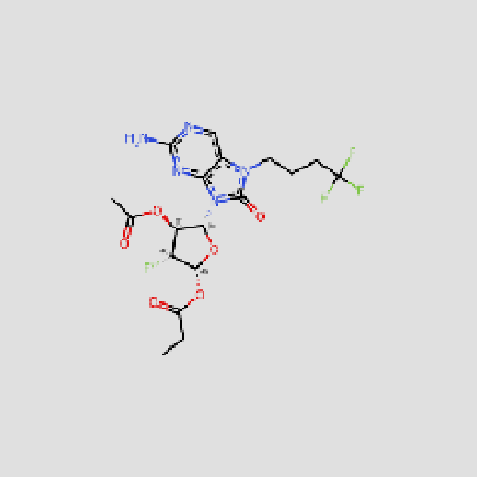 CCC(=O)O[C@H]1O[C@@H](n2c(=O)n(CCCC(F)(F)F)c3cnc(N)nc32)[C@H](OC(C)=O)[C@H]1F